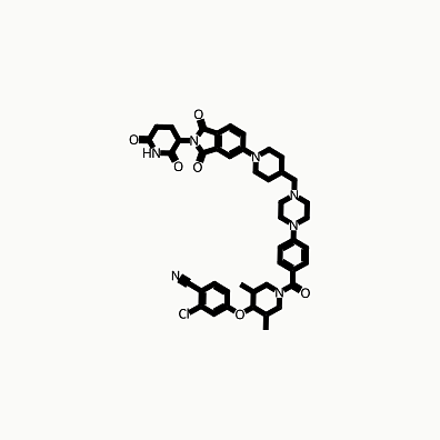 CC1CN(C(=O)c2ccc(N3CCN(CC4CCN(c5ccc6c(c5)C(=O)N(C5CCC(=O)NC5=O)C6=O)CC4)CC3)cc2)CC(C)C1Oc1ccc(C#N)c(Cl)c1